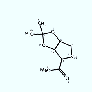 COC(=O)C1NCC2OC(C)(C)OC21